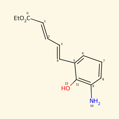 CCOC(=O)C=CC=Cc1cccc(N)c1O